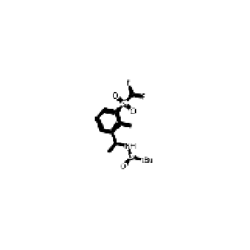 Cc1c(C(C)N[S+]([O-])C(C)(C)C)cccc1S(=O)(=O)C(F)F